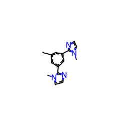 Cc1cc(-c2nccn2C)cc(-c2nccn2C)c1